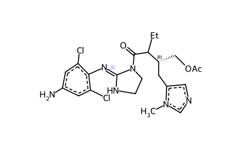 CCC(C(=O)N1CCN/C1=N\c1c(Cl)cc(N)cc1Cl)[C@H](COC(C)=O)Cc1cncn1C